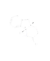 O=CC1CO[C@H]2Cc3ccccc3[C@H]2N1